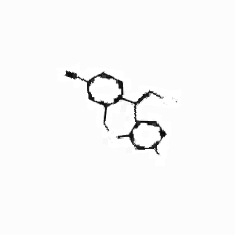 C#Cc1ccc2c(c1)COc1cc(F)ccc1C2=CC#N